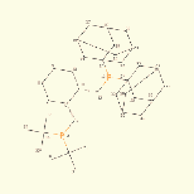 CC(C)(C)P(C[C@@H]1CCCC[C@@H]1CP(C12CC3CC(CC(C3)C1)C2)C12CC3CC(CC(C3)C1)C2)C(C)(C)C